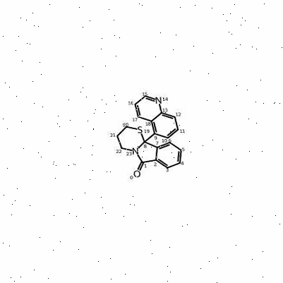 O=C1c2ccccc2C2(c3cccc4ncccc34)SCCCN12